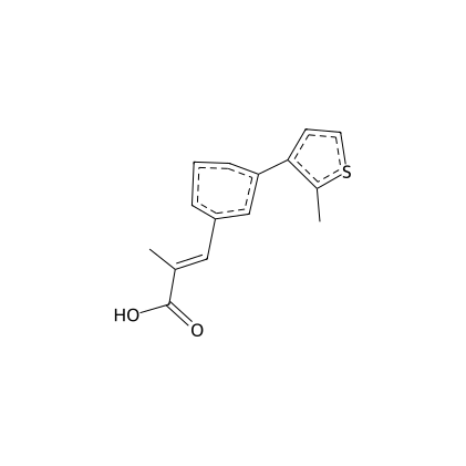 C/C(=C\c1cccc(-c2ccsc2C)c1)C(=O)O